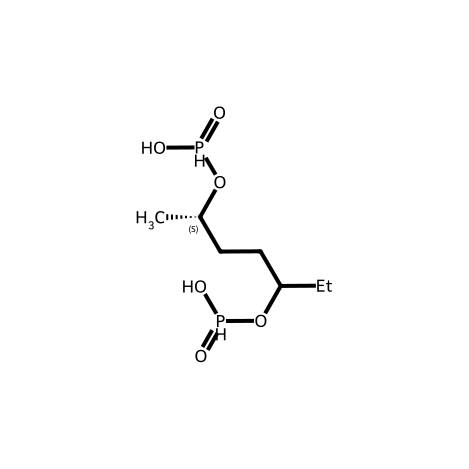 CCC(CC[C@H](C)O[PH](=O)O)O[PH](=O)O